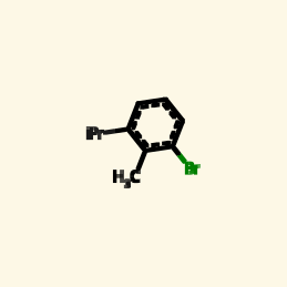 [CH2]C(C)c1cccc(Br)c1C